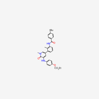 CCOC(=O)Oc1ccc(Nc2cc(-c3cccc(NC(=O)c4ccc(C(C)(C)C)cc4)c3C)cn(C)c2=O)cc1